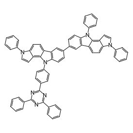 c1ccc(-c2nc(-c3ccccc3)nc(-c3ccc(-n4c5ccc(-c6ccc7c(c6)c6ccc8c(ccn8-c8ccccc8)c6n7-c6ccccc6)cc5c5ccc6c(ccn6-c6ccccc6)c54)cc3)n2)cc1